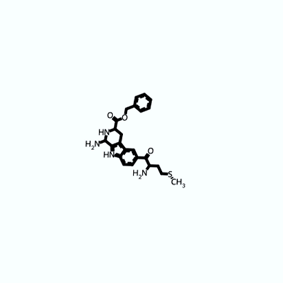 CSCCC(N)C(=O)c1ccc2[nH]c3c(c2c1)CC(C(=O)OCc1ccccc1)NC3N